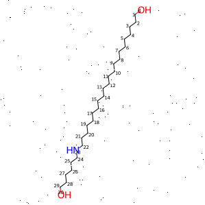 OCCCCCCCCCCCCCCCCCCCCCCNCCCCCCO